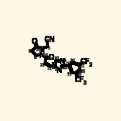 N#CCN1C(=O)CCN1C(=O)/C=C\n1cnc(-c2cc(C(F)(F)F)cc(C(F)(F)F)c2)n1